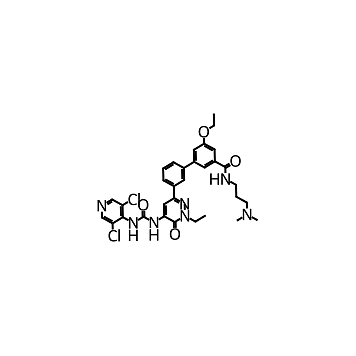 CCOc1cc(C(=O)NCCCN(C)C)cc(-c2cccc(-c3cc(NC(=O)Nc4c(Cl)cncc4Cl)c(=O)n(CC)n3)c2)c1